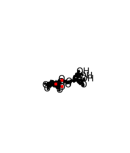 COc1ccc(C2c3cc(CO)c(CO)cc3CC[N+]2(C)CCCOC(=O)C#CC(=O)OCCC[N+]2(C)CCc3cc(OC)c(OC)cc3C2Cc2cc(CO)c(OC)c(OC)c2)cc1CO